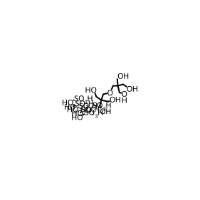 O=S(=O)(O)O.O=S(=O)(O)O.O=S(=O)(O)O.O=S(=O)(O)O.O=S(=O)(O)O.O=S(=O)(O)O.OCC(CO)(CO)COCC(CO)(CO)CO